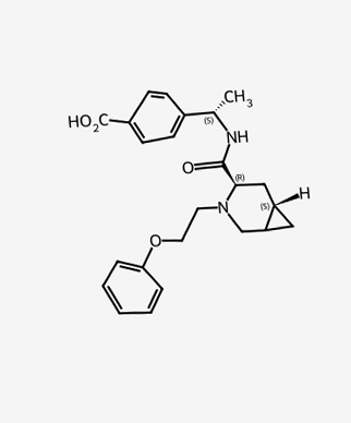 C[C@H](NC(=O)[C@H]1C[C@@H]2CC2CN1CCOc1ccccc1)c1ccc(C(=O)O)cc1